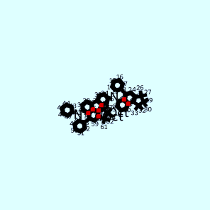 CCCCCCCCC1(CCCCCCCC)c2cc(N(c3ccccc3)c3ccccc3-c3ccc4c(c3)C(C)(C)C(C)(C)C4(C)C)ccc2-c2ccc(N(c3ccccc3)c3ccccc3-c3ccc4c(c3)C(C)(C)C(C)(C)C4(C)C)cc21